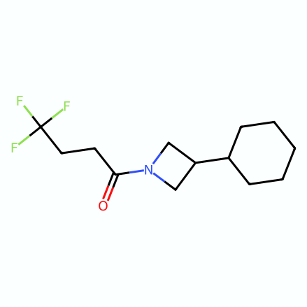 O=C(CCC(F)(F)F)N1CC(C2CCCCC2)C1